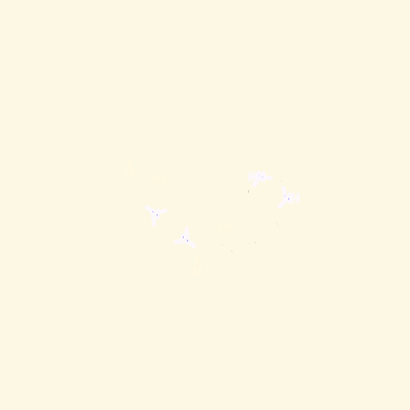 C=C1Nc2c(Cl)cc3cc(C(=O)N4CCN(CC(=O)OCC)CC4)oc3c2C2(CCCCC2)N1